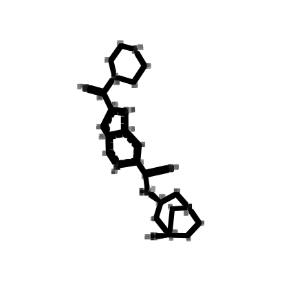 O=C(N[C@@H]1C[C@H]2CCN(C2)C1)c1cc2sc(C(=O)N3CCSCC3)cc2cn1